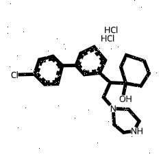 Cl.Cl.OC1(C(CN2CCNCC2)c2cccc(-c3ccc(Cl)cc3)c2)CCCCC1